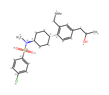 CNCc1cc(CC(C)O)ccc1[C@H]1CC[C@H](N(C)S(=O)(=O)c2ccc(Cl)cc2)CC1